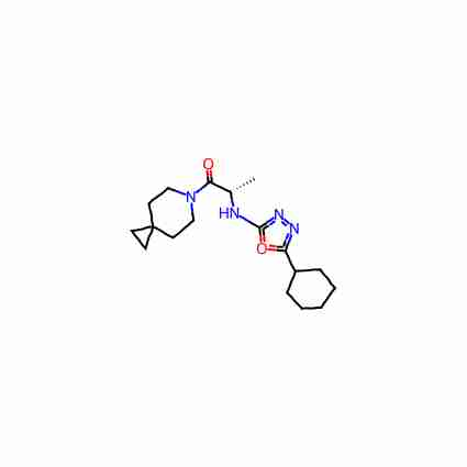 C[C@H](Nc1nnc(C2CCCCC2)o1)C(=O)N1CCC2(CC1)CC2